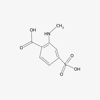 CNc1cc(S(=O)(=O)O)ccc1C(=O)O